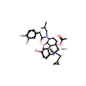 CC(=O)O[C@@]12CCC(N(CC(C)C)C(=O)Cc3ccc(Cl)c(Cl)c3)C3Oc4c(O)ccc5c4[C@@]31CCN(CC1CC1)[C@@H]2C5